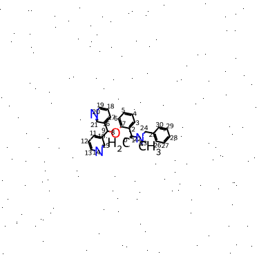 C=C(c1ccccc1OC(c1cccnc1)c1cccnc1)N(C)Cc1ccccc1